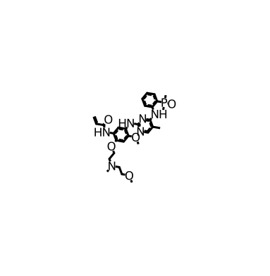 C=CC(=O)Nc1cc(Nc2ncc(C)c(Nc3ccccc3P(C)(C)=O)n2)c(OC)cc1OCCN(C)CCOC